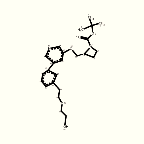 CC(C)(C)OC(=O)N1CC[C@H]1COc1cncc(-c2cccc(CCOCCO)c2)c1